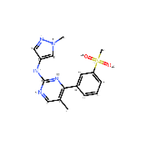 Cc1cnc(Nc2cnn(C)c2)nc1-c1cccc(S(C)(=O)=O)c1